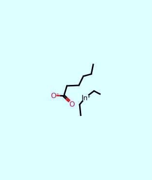 CCCCCC(=O)[O-].C[CH2][In+][CH2]C